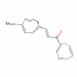 COc1[c]cc(/C=C/C(=O)c2ccccc2)cc1